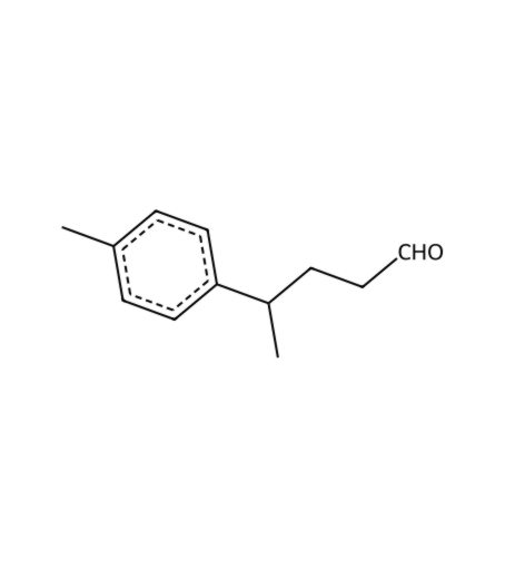 Cc1ccc(C(C)CCC=O)cc1